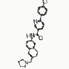 O=C(Nc1ccc2c(c1)CCC(CN1CCCC1)=C2)c1ccc(-c2ccc(Cl)cc2)nc1